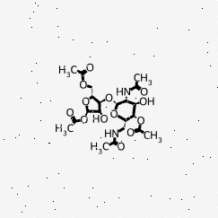 CC(=O)NC[C@@H]1O[C@H](O[C@H]2[C@@H](O)[C@@H](OC(C)=O)O[C@@H]2COC(C)=O)[C@H](NC(C)=O)[C@@H](O)[C@@H]1OC(C)=O